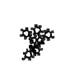 Cc1ccc(S(=O)(=O)/N=C2\OC(c3ccccc3)=CC23C(c2ccccc2)C(c2ccccc2)=NN3c2ccccc2)cc1